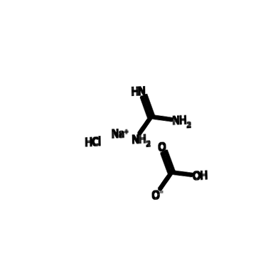 Cl.N=C(N)N.O=C([O-])O.[Na+]